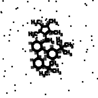 CC1=C(C)C(C)C([SiH2]c2cccc(-c3cccc([Si](C)(C)C)c3)c2-c2cccc([Si](C)(C)C)c2)=C1C